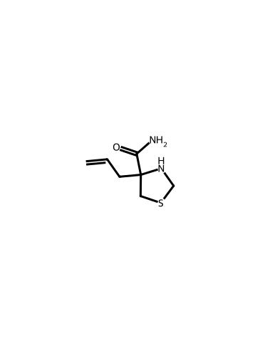 C=CCC1(C(N)=O)CSCN1